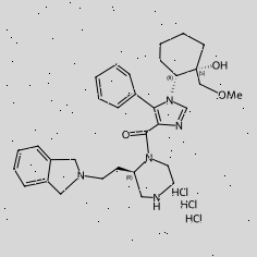 COC[C@]1(O)CCCC[C@H]1n1cnc(C(=O)N2CCNC[C@H]2CCN2Cc3ccccc3C2)c1-c1ccccc1.Cl.Cl.Cl